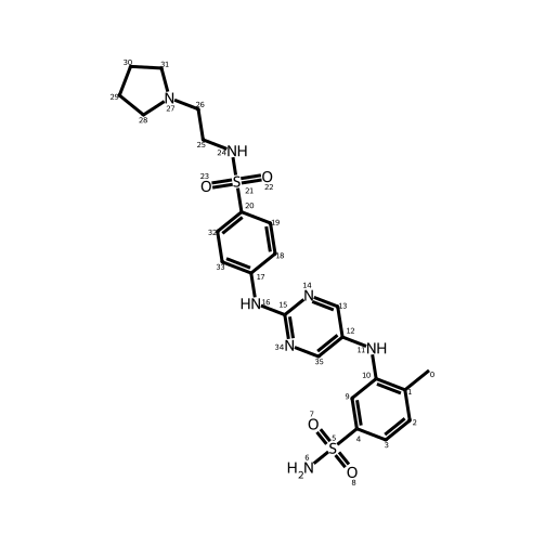 Cc1ccc(S(N)(=O)=O)cc1Nc1cnc(Nc2ccc(S(=O)(=O)NCCN3CCCC3)cc2)nc1